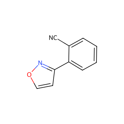 N#Cc1ccccc1-c1ccon1